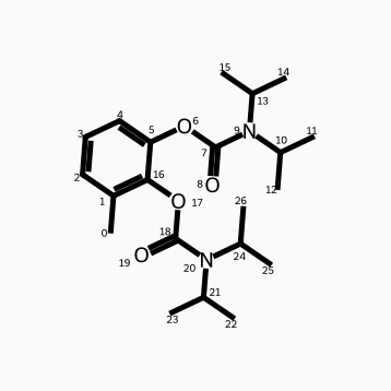 Cc1cccc(OC(=O)N(C(C)C)C(C)C)c1OC(=O)N(C(C)C)C(C)C